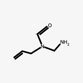 C=CCN([C]=O)CN